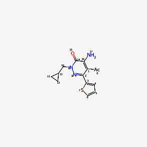 CC(=O)c1c(-c2cccs2)nn(CC2CC2)c(=O)c1N